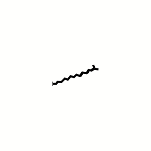 CC(C)=CC=CC=CCCCCCCCCI